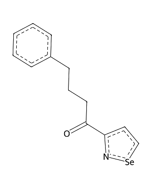 O=C(CCCc1ccccc1)c1cc[se]n1